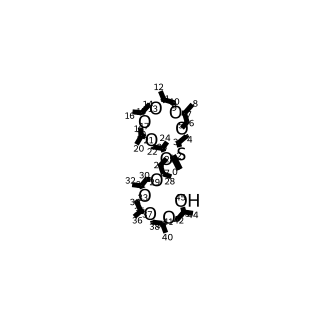 C=CSCCOCC(C)OCC(C)OCC(C)OCC(C)OCC(C)OCC(C)OCC(C)OCC(C)OCC(C)OCC(C)O